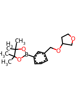 CC1(C)OB(c2cccc(COC3CCOC3)c2)OC1(C)C